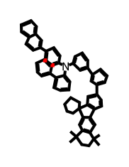 CC1(C)CCC(C)(C)c2cc3c(cc21)-c1ccc(-c2cccc(-c4cccc(N(c5ccc(-c6ccc7ccccc7c6)cc5)c5ccccc5-c5ccccc5)c4)c2)cc1C31CCCCC1